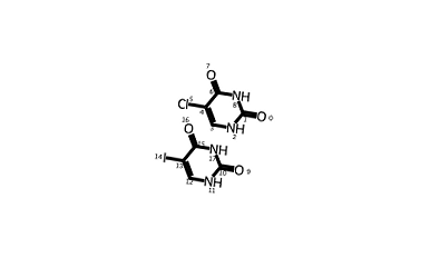 O=c1[nH]cc(Cl)c(=O)[nH]1.O=c1[nH]cc(I)c(=O)[nH]1